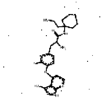 Cc1c[nH]c2nccc(Oc3ccc(CC(N)C(=O)NC4(CCO)CCCCC4)cc3F)c12